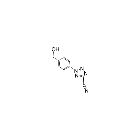 N#Cc1nnn(-c2ccc(CO)cc2)n1